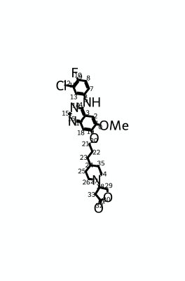 COc1cc2c(Nc3ccc(F)c(Cl)c3)ncnc2cc1OCCCC1CCN(C2COC(=O)C2)CC1